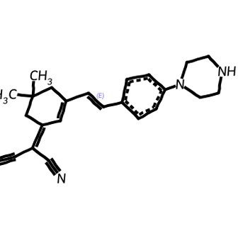 CC1(C)CC(/C=C/c2ccc(N3CCNCC3)cc2)=CC(=C(C#N)C#N)C1